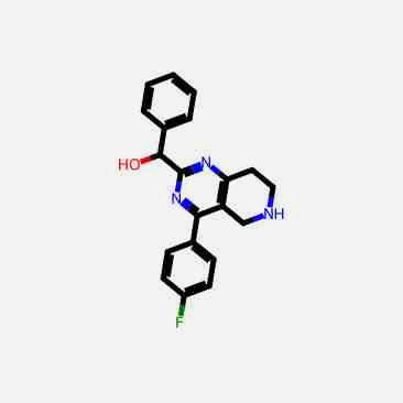 OC(c1ccccc1)c1nc2c(c(-c3ccc(F)cc3)n1)CNCC2